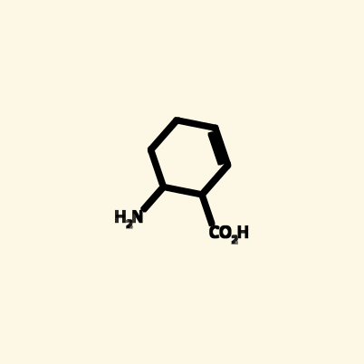 NC1CCC=CC1C(=O)O